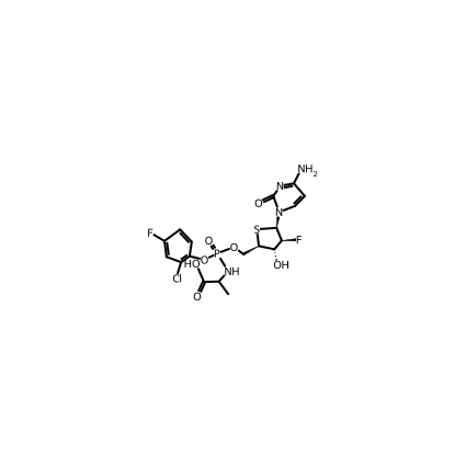 CC(NP(=O)(OC[C@H]1S[C@@H](n2ccc(N)nc2=O)[C@@H](F)[C@@H]1O)Oc1ccc(F)cc1Cl)C(=O)O